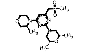 C[C@@H]1CN(c2nc(CS(C)(=O)=O)cc(N3CCOC[C@@H]3C)n2)C[C@H](C)O1